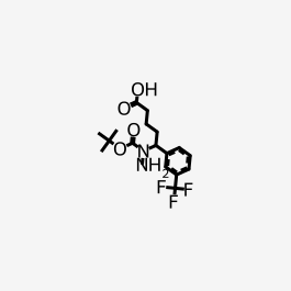 CC(C)(C)OC(=O)N(N)C(CCCC(=O)O)c1cccc(C(F)(F)F)c1